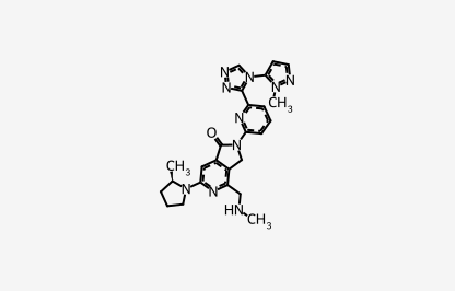 CNCc1nc(N2CCC[C@H]2C)cc2c1CN(c1cccc(-c3nncn3-c3ccnn3C)n1)C2=O